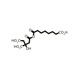 O=C(O)CCCCCCC(=O)OC(=O)CC(O)(CC(=O)O)C(=O)O